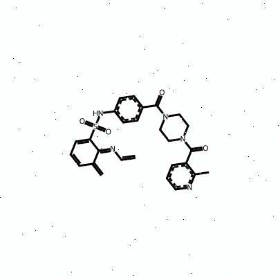 C=C/N=C1\C(=C)C=CC=C1S(=O)(=O)Nc1ccc(C(=O)N2CCN(C(=O)c3cccnc3C)CC2)cc1